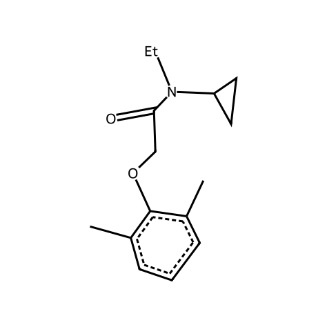 CCN(C(=O)COc1c(C)cccc1C)C1CC1